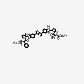 COC(=O)N[C@@H](C(=O)N1CCCC1c1nc2ccc(-c3csc4c(-c5ccc6[nH]c(C7CCCN7C(=O)[C@H](NC(=O)OC)C(C)C)nc6c5)csc34)cc2[nH]1)c1ccccc1